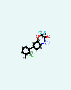 Cc1cccc(-c2ccc3c(c2)OC(F)(F)C(=O)N3)c1Cl